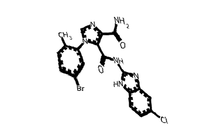 Cc1ccc(Br)cc1-n1cnc(C(N)=O)c1C(=O)Nc1nc2cc(Cl)ccc2[nH]1